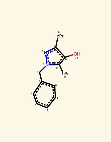 CCCc1nn(Cc2ccccc2)c(CCC)c1O